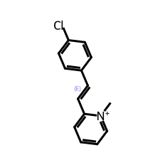 C[n+]1ccccc1/C=C/c1ccc(Cl)cc1